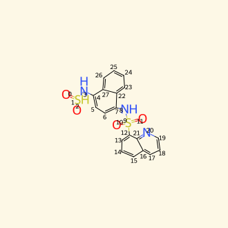 O=[SH](=O)Nc1ccc(NS(=O)(=O)c2cccc3cccnc23)c2ccccc12